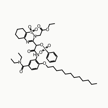 CCCCCCCCCCCCOc1ccc(C(=O)N(CC)CC)cc1NC(=O)C(OS(=O)(=O)c1ccccc1)C1=NC2=C(CCCC2)S(=O)(=O)N1CC(=O)OCC